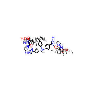 COC(=O)N[C@H](C(=O)N1CCC[C@H]1c1nc(-c2ccc([C@H]3CC[C@H](c4ccc(-c5c[nH]c([C@@H]6CCCN6C(=O)[C@@H](NC(=O)O)C(C)(C)C)n5)cc4)N3c3ccc(C(C)(C)C)cc3)cc2)c[nH]1)C(C)(C)C